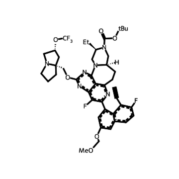 C#Cc1c(F)ccc2cc(OCOC)cc(-c3nc4c5c(nc(OC[C@]67CCCN6C[C@H](OC(F)(F)F)C7)nc5c3F)N3C[C@@H](CC)N(C(=O)OC(C)(C)C)C[C@H]3CC4)c12